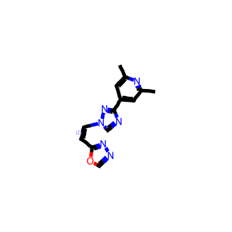 Cc1cc(-c2ncn(/C=C\c3nnco3)n2)cc(C)n1